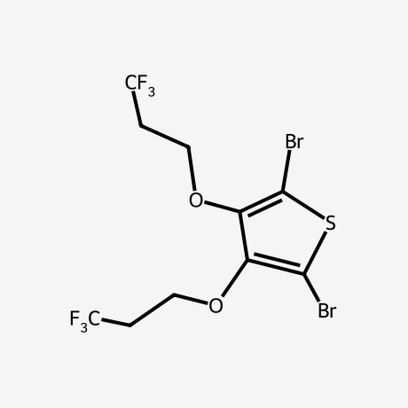 FC(F)(F)CCOc1c(Br)sc(Br)c1OCCC(F)(F)F